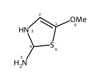 COC1=CNC(N)S1